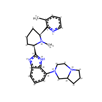 Cc1cccnc1[C@@H]1CCC[C@H](c2nc3cccc(N4CCN5CCCC5C4)c3[nH]2)N1C